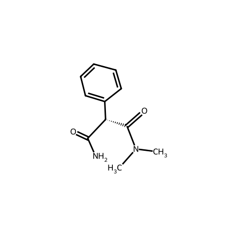 CN(C)C(=O)[C@H](C(N)=O)c1ccccc1